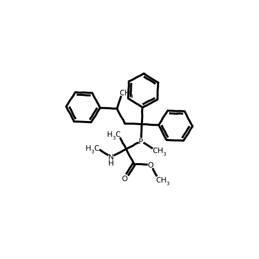 CNC(C)(C(=O)OC)P(C)C(CC(C)c1ccccc1)(c1ccccc1)c1ccccc1